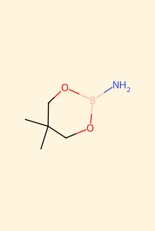 CC1(C)COB(N)OC1